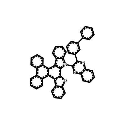 c1ccc(-c2cccc(-c3nc4ccccc4nc3-n3c4ccccc4c4c5c6ccccc6c6ccccc6c5c5c6ccccc6oc5c43)c2)cc1